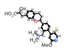 COc1cc(-c2ccc(C3CCc4ccc(CC(C)C(=O)O)cc4O3)cc2CN(C)C)c(F)cn1